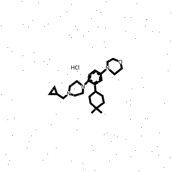 CC1(C)CCC(c2cc(N3CCOCC3)ccc2N2CCN(CC3CC3)CC2)CC1.Cl